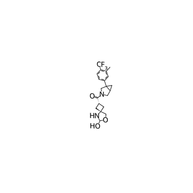 Cc1cc(C23CC2CN(C(=O)[C@H]2C[C@]4(COC(O)N4)C2)C3)ccc1C(F)(F)F